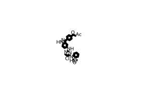 CC(=O)CC(=O)c1ccc(-c2n[nH]c3ccc(Nc4ncc(Cl)c(Nc5ccccc5P(C)(C)=O)n4)cc23)cc1